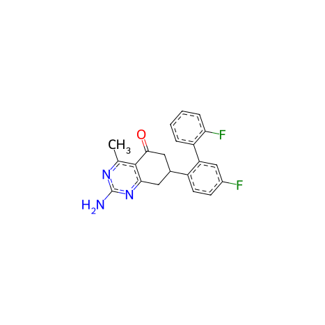 Cc1nc(N)nc2c1C(=O)CC(c1ccc(F)cc1-c1ccccc1F)C2